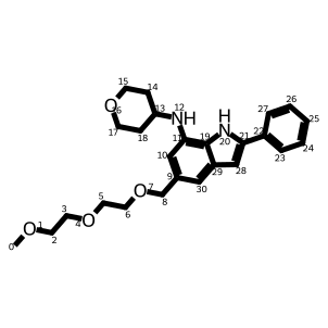 COCCOCCOCc1cc(NC2CCOCC2)c2[nH]c(-c3ccccc3)cc2c1